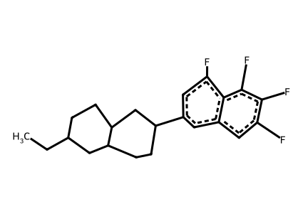 CCC1CCC2CC(c3cc(F)c4c(F)c(F)c(F)cc4c3)CCC2C1